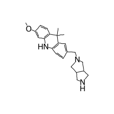 COc1ccc2c(c1)Nc1ccc(CN3CC4CNCC4C3)cc1C2(C)C